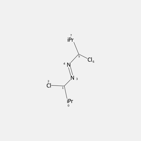 CC(C)C(Cl)N=NC(Cl)C(C)C